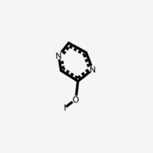 IOc1cnccn1